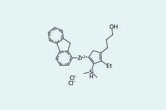 CCC1=C(CCCO)C[C]([Zr+2][c]2cccc3c2Cc2ccccc2-3)=C1[SiH](C)C.[Cl-].[Cl-]